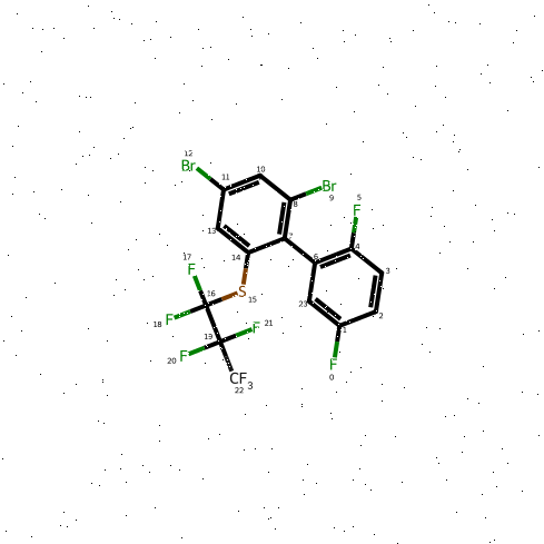 Fc1ccc(F)c(-c2c(Br)[c]c(Br)cc2SC(F)(F)C(F)(F)C(F)(F)F)c1